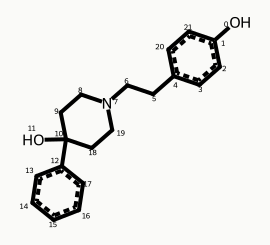 Oc1ccc(CCN2CCC(O)(c3ccccc3)CC2)cc1